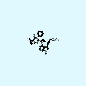 COCC#Cc1c[nH]c2ncnc(N3CC[C@H]3c3nn4ccc(Cl)c4c(=O)n3-c3ccccc3)c12